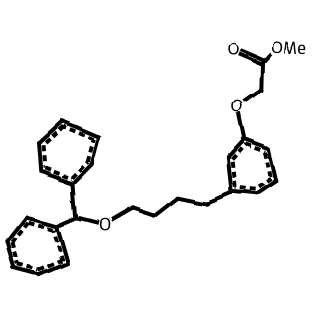 COC(=O)COc1cccc(CCCCOC(c2ccccc2)c2ccccc2)c1